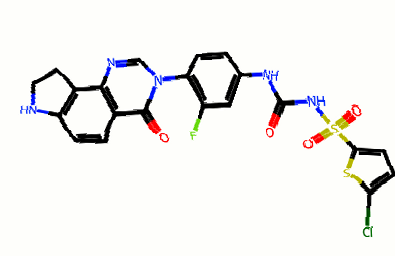 O=C(Nc1ccc(-n2cnc3c4c(ccc3c2=O)NCC4)c(F)c1)NS(=O)(=O)c1ccc(Cl)s1